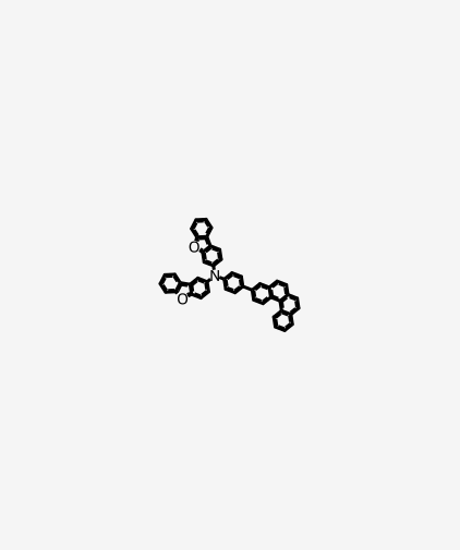 c1ccc2c(c1)ccc1ccc3cc(-c4ccc(N(c5ccc6c(c5)oc5ccccc56)c5ccc6oc7ccccc7c6c5)cc4)ccc3c12